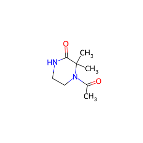 CC(=O)N1CCNC(=O)C1(C)C